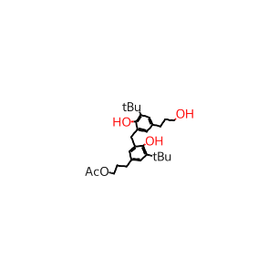 CC(=O)OCCCc1cc(Cc2cc(CCCO)cc(C(C)(C)C)c2O)c(O)c(C(C)(C)C)c1